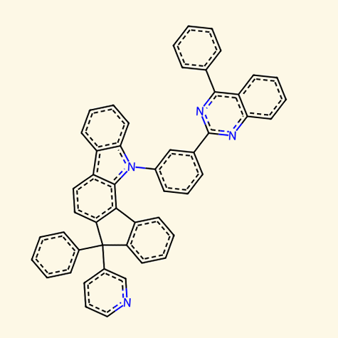 c1ccc(-c2nc(-c3cccc(-n4c5ccccc5c5ccc6c(c54)-c4ccccc4C6(c4ccccc4)c4cccnc4)c3)nc3ccccc23)cc1